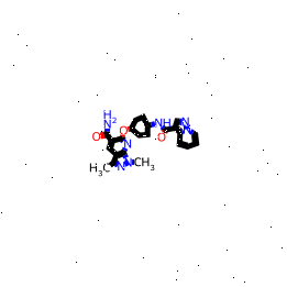 Cc1nn(C)c2nc(OC3CCC(NC(=O)c4cnn5ccccc45)CC3)c(C(N)=O)cc12